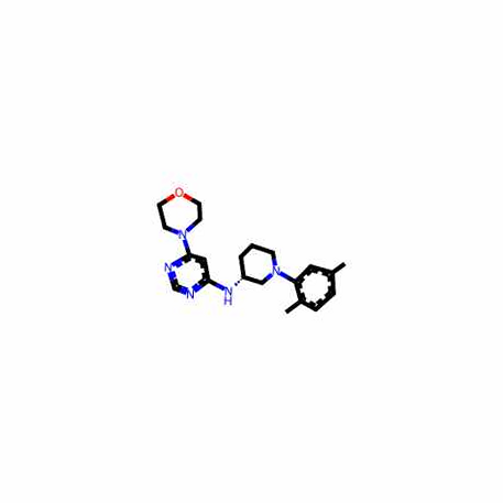 Cc1ccc(C)c(N2CCC[C@@H](Nc3cc(N4CCOCC4)ncn3)C2)c1